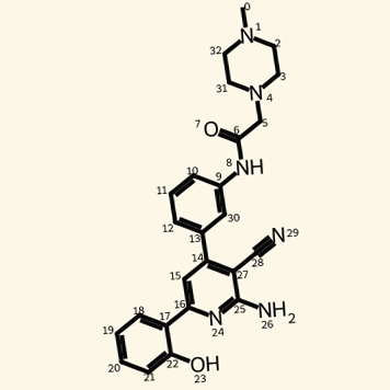 CN1CCN(CC(=O)Nc2cccc(-c3cc(-c4ccccc4O)nc(N)c3C#N)c2)CC1